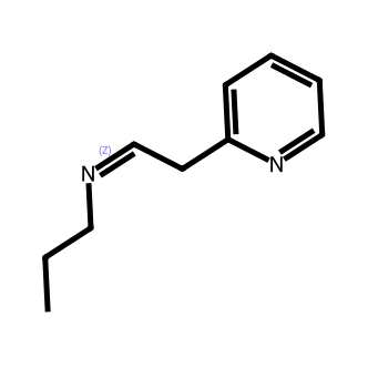 CCC/N=C\Cc1ccccn1